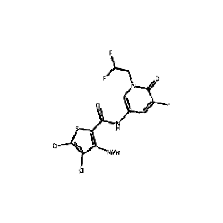 CNc1c(C(=O)Nc2cc(F)c(=O)n(CC(F)F)c2)sc(Cl)c1Cl